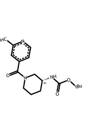 CC(C)(C)OC(=O)N[C@@H]1CCCN(C(=O)c2ccnc(C=O)c2)C1